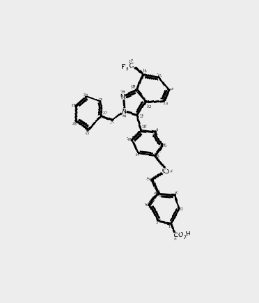 O=C(O)c1ccc(COc2ccc(-c3c4cccc(C(F)(F)F)c4nn3Cc3ccccc3)cc2)cc1